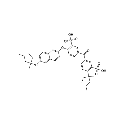 CCCC(C)(CC)Oc1ccc2cc(Oc3ccc(C(=O)c4ccc(C(C)(CC)CCC)c(S(=O)(=O)O)c4)cc3S(=O)(=O)O)ccc2c1